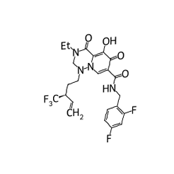 C=C[C@H](CCN1CN(CC)C(=O)c2c(O)c(=O)c(C(=O)NCc3ccc(F)cc3F)cn21)C(F)(F)F